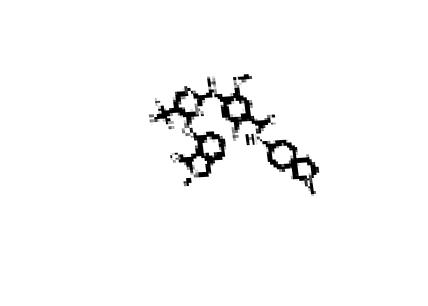 COc1cc(C(=O)NC2CCC3(CC2)CCN(C)C3)c(F)cc1Nc1ncc(C(F)(F)F)c(Oc2cccc3c2C(=O)N(C)C3)n1